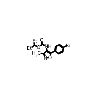 CCC(CC)OC(=O)Nc1c(C)noc1-c1ccc(Br)cc1